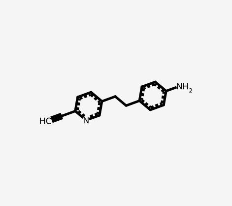 C#Cc1ccc(CCc2ccc(N)cc2)cn1